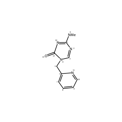 CNc1ncn(Cc2ccccn2)c(=O)n1